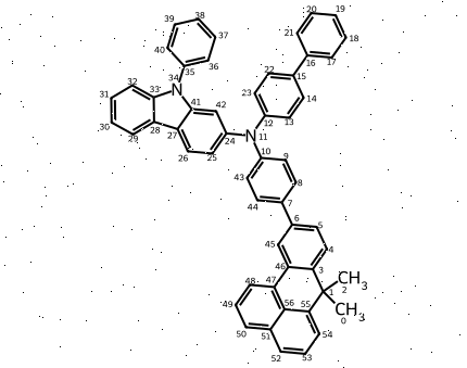 CC1(C)c2ccc(-c3ccc(N(c4ccc(-c5ccccc5)cc4)c4ccc5c6ccccc6n(-c6ccccc6)c5c4)cc3)cc2-c2cccc3cccc1c23